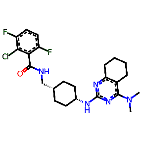 CN(C)c1nc(N[C@H]2CC[C@@H](CNC(=O)c3c(F)ccc(F)c3Cl)CC2)nc2c1CCCC2